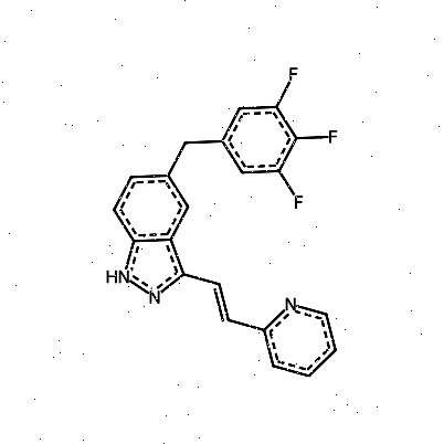 Fc1cc(Cc2ccc3[nH]nc(C=Cc4ccccn4)c3c2)cc(F)c1F